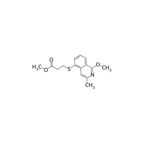 COC(=O)CCSc1cccc2c(OC)nc(C)cc12